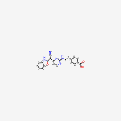 N#C/C(=C1\Nc2ccccc2O1)c1ccnc(NCCc2ccc(C(=O)O)cc2)n1